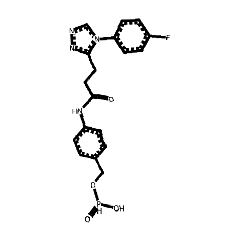 O=C(CCc1nncn1-c1ccc(F)cc1)Nc1ccc(CO[PH](=O)O)cc1